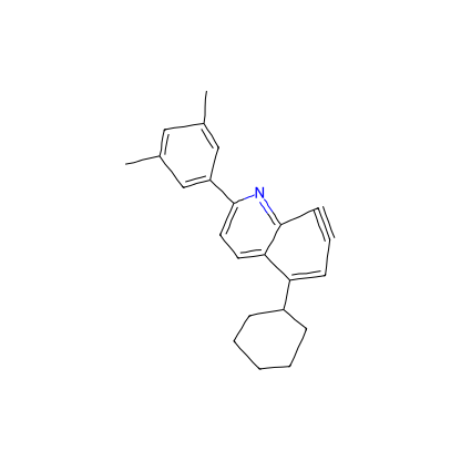 Cc1cc(C)cc(-c2ccc3c(C4CCCCC4)cc#cc3n2)c1